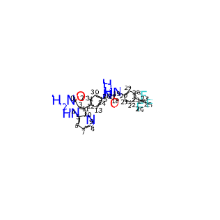 NC(=O)c1[nH]c2cccnc2c1-c1ccc(NC(=O)Nc2ccc(C(F)(F)F)cc2)cc1